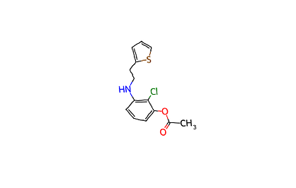 CC(=O)Oc1cccc(NCCc2cccs2)c1Cl